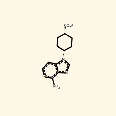 Nc1nccc2c1ncn2[C@H]1CC[C@@H](C(=O)O)CC1